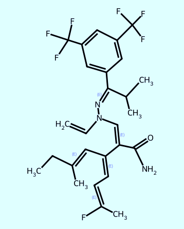 C=CN(/C=C(/C(N)=O)C(=C/C=C(\C)F)/C=C(\C)CC)/N=C(/c1cc(C(F)(F)F)cc(C(F)(F)F)c1)C(C)C